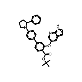 CC(C)(C)OC(=O)c1ccc(-c2ccc(N3CCCC3c3ccccc3)cc2)cc1Oc1cnc2[nH]ccc2c1